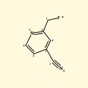 N#Cc1ccnc(CF)c1